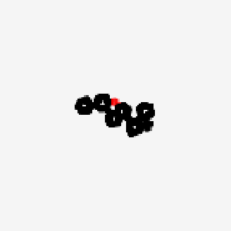 CC1(C)c2ccccc2-c2c(-c3ccc4c5c(cccc35)-c3cc(-c5ccccc5)ccc3O4)cccc21